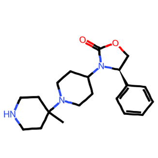 CC1(N2CCC(N3C(=O)OC[C@H]3c3ccccc3)CC2)CCNCC1